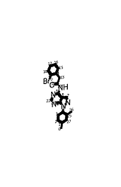 Cc1ccc(-n2ncc3c(NC(=O)Cc4ccccc4Br)ncnc32)c(C)c1